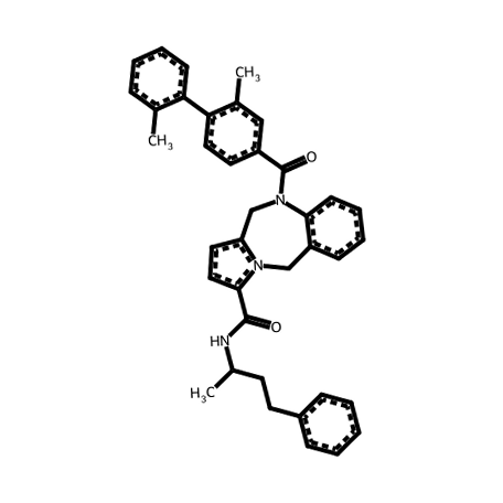 Cc1ccccc1-c1ccc(C(=O)N2Cc3ccc(C(=O)NC(C)CCc4ccccc4)n3Cc3ccccc32)cc1C